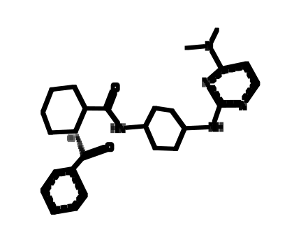 CN(C)c1ccnc(NC2CCC(NC(=O)C3CCCC[C@H]3C(=O)c3ccccc3)CC2)n1